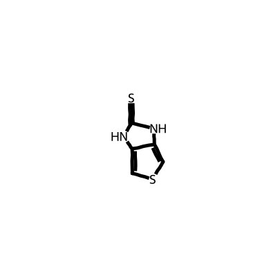 S=c1[nH]c2cscc2[nH]1